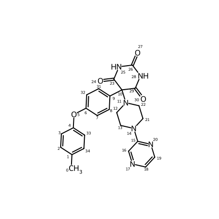 Cc1ccc(Oc2ccc(C3(N4CCN(c5cnccn5)CC4)C(=O)NC(=O)NC3=O)cc2)cc1